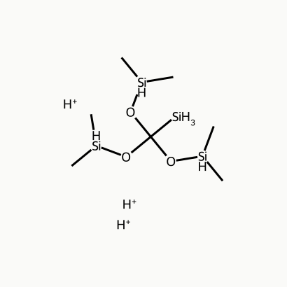 C[SiH](C)OC([SiH3])(O[SiH](C)C)O[SiH](C)C.[H+].[H+].[H+]